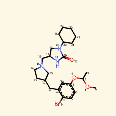 COC(C)Oc1ccc(Br)c(CC2CCN(CC3CN(C4CCCCC4)C(=O)N3)C2)c1